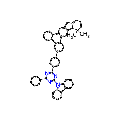 CC1(C)C=CC=C2C=c3cc4c5ccccc5c5cc(-c6ccc(-c7nc(-c8ccccc8)nc(-n8c9ccccc9c9ccccc98)n7)cc6)ccc5c4cc3=C21